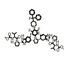 COC(=O)N[C@H](C(=O)N1CCC[C@H]1c1nc2c([nH]1)C=C(F)C([C@H]1CC[C@H](c3cc4nc([C@@H]5CCCN5C(=O)[C@@H](NC(=O)OC)C(C)C)[nH]c4cc3F)N1c1cc(F)c(N3CCC(C(F)(c4ccccc4)c4ccccc4)CC3)c(F)c1)C2)C(C)C